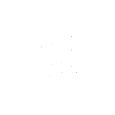 CC(=O)/C=C\N(C(C)=O)[C@]1(C#N)O[C@H](COC(=O)c2ccccc2)[C@@H](OC(=O)c2ccccc2)[C@H]1OC(=O)c1ccccc1